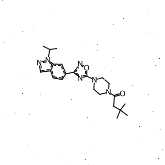 CC(C)n1ncc2ccc(-c3noc(N4CCN(C(=O)CC(C)(C)C)CC4)n3)cc21